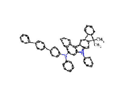 CC1(C)c2ccccc2-c2cc3c4c5ccccc5c(N(c5ccccc5)c5ccc(-c6ccc(-c7ccccc7)cc6)cc5)cc4n(-c4ccccc4)c3cc21